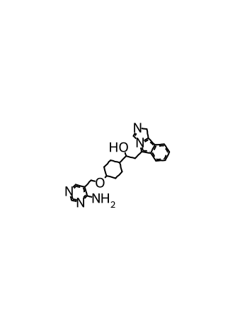 Nc1ncncc1COC1CCC(C(O)Cc2c3ccccc3c3n2C=NC3)CC1